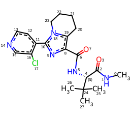 CNC(=O)[C@@H](NC(=O)c1nc(-c2ccncc2Cl)n2c1CCCC2)C(C)(C)C